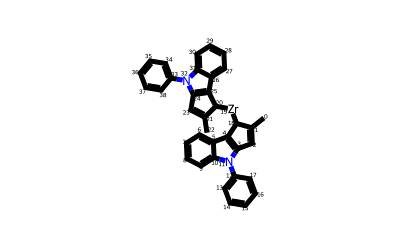 CC1=Cc2c(c3ccccc3n2-c2ccccc2)[CH]1[Zr][CH]1C(C)=Cc2c1c1ccccc1n2-c1ccccc1